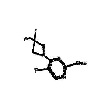 CSc1ncc(F)c(N2CC(F)(F)C2)n1